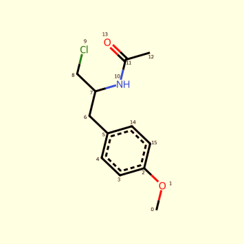 COc1ccc(CC(CCl)NC(C)=O)cc1